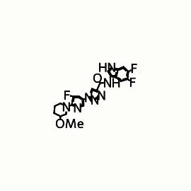 COC1CCCN(c2ncc(-n3cc(C(=O)Nc4c[nH]c5cc(F)c(F)cc45)nn3)cc2F)C1